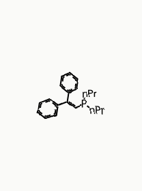 CCCP(C=C(c1ccccc1)c1ccccc1)CCC